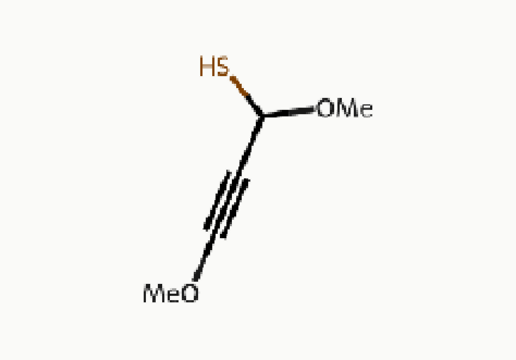 COC#CC(S)OC